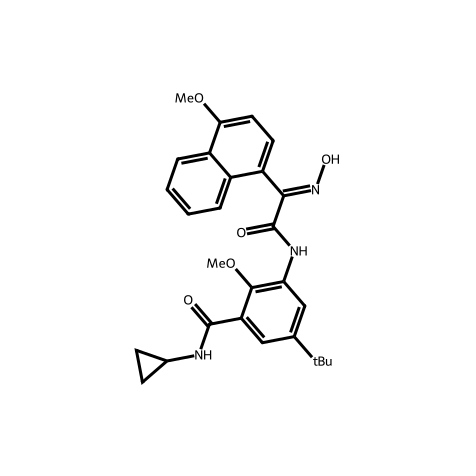 COc1c(NC(=O)/C(=N/O)c2ccc(OC)c3ccccc23)cc(C(C)(C)C)cc1C(=O)NC1CC1